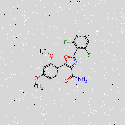 COc1ccc(-c2oc(-c3c(F)cccc3F)nc2C(N)=O)c(OC)c1